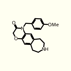 COc1ccc(CN2C(=O)COc3cc4c(cc32)CCNCC4)cc1